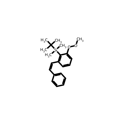 COOc1cccc(/C=C\c2ccccc2)c1[Si](C)(C)C(C)(C)C